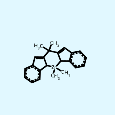 CC1(C)C2=Cc3ccccc3[CH]2[Zr]([CH3])([CH3])[CH]2C1=Cc1ccccc12